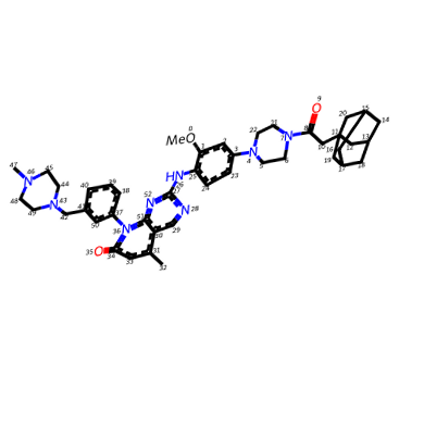 COc1cc(N2CCN(C(=O)CC34CC5CC(CC(C5)C3)C4)CC2)ccc1Nc1ncc2c(C)cc(=O)n(-c3cccc(CN4CCN(C)CC4)c3)c2n1